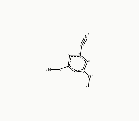 COc1cc(C#N)cc(C#N)c1